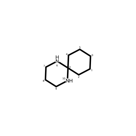 C1CCC2(CC1)NCCCN2